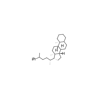 CC(C)C(C)CC[C@@H](C)[C@H]1CC[C@H]2[C@@H]3CCC4CCCC[C@]4(C)[C@H]3CC[C@]12C